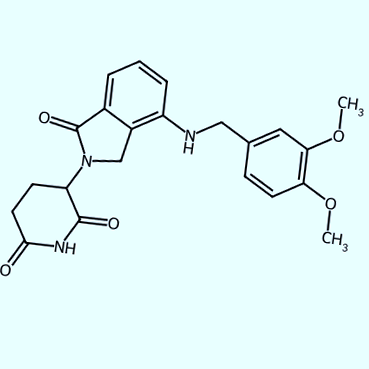 COc1ccc(CNc2cccc3c2CN(C2CCC(=O)NC2=O)C3=O)cc1OC